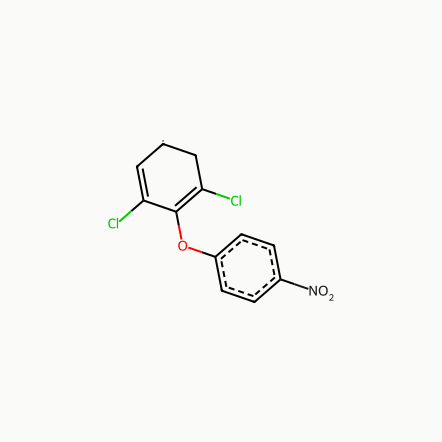 O=[N+]([O-])c1ccc(OC2=C(Cl)C[CH]C=C2Cl)cc1